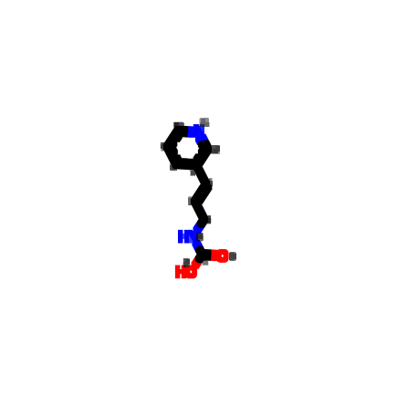 O=C(O)NCC=Cc1cccnc1